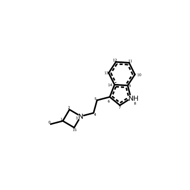 CC1CN(CCc2c[nH]c3ccccc23)C1